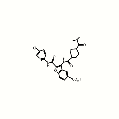 CN(C)C(=O)C1CCC(C(=O)Nc2c(C(=O)Nc3ccc(Cl)cn3)oc3ccc(C(=O)O)cc23)CC1